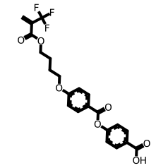 C=C(C(=O)OCCCCOc1ccc(C(=O)Oc2ccc(C(=O)O)cc2)cc1)C(F)(F)F